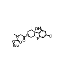 Cc1cc(Cl)cc(F)c1[C@@]1(O)[C@H](C)CN(C(=O)CN(C)C(=O)OC(C)(C)C)C[C@@H]1C